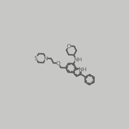 c1ccc(-c2cc3cc(COCCN4CCSCC4)cc(NC4CCOCC4)c3[nH]2)cc1